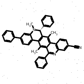 Cc1c2c(c(C)c3c1c(-c1ccccc1)nc1cc(C#N)ccc13)[C@@H](c1ccccc1)N(C)c1cc(-c3ccccc3)ccc1-2